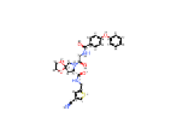 N#Cc1csc(CNC(=O)[C@@H]2CC3(CN2C(=O)CNC(=O)c2ccc(Oc4ccccc4)cc2)OCCO3)c1